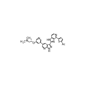 CC(=O)c1ccc(-c2nccc3[nH]c(-c4n[nH]c5ncc(-c6cncc(OCCN(C)C)c6)cc45)nc23)s1